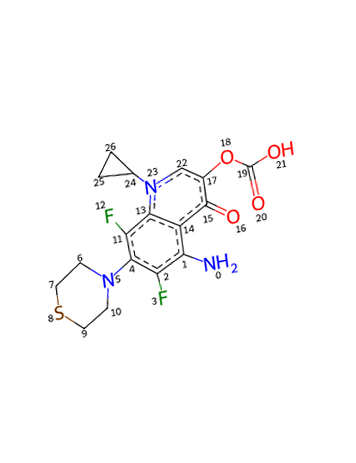 Nc1c(F)c(N2CCSCC2)c(F)c2c1c(=O)c(OC(=O)O)cn2C1CC1